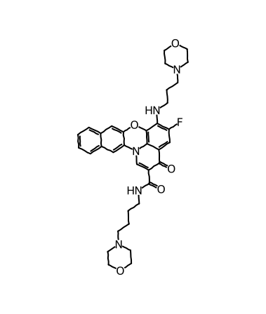 O=C(NCCCCN1CCOCC1)c1cn2c3c(c(NCCCN4CCOCC4)c(F)cc3c1=O)Oc1cc3ccccc3cc1-2